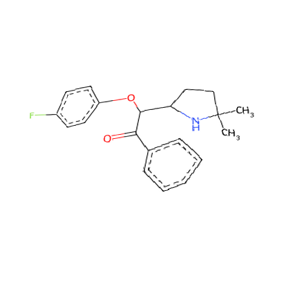 CC1(C)CCC(C(Oc2ccc(F)cc2)C(=O)c2ccccc2)N1